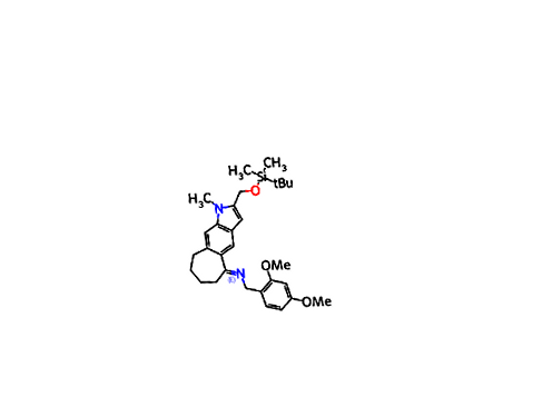 COc1ccc(C/N=C2\CCCCc3cc4c(cc32)cc(CO[Si](C)(C)C(C)(C)C)n4C)c(OC)c1